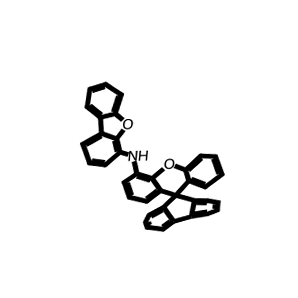 c1ccc2c(c1)Oc1c(Nc3cccc4c3oc3ccccc34)cccc1C21c2ccccc2-c2ccccc21